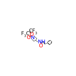 O=C(/C=C/c1ccccc1)NCC1CCN(C(=O)OC(C(F)(F)F)C(F)(F)F)CC1